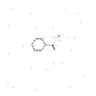 CP(C)(=O)C(=O)c1ccccc1